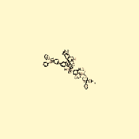 CC(C)c1ccccc1[C@@H]1CCCN1C1CC2(CCN(c3ccc(C(=O)NS(=O)(=O)c4cc5c(c([N+](=O)[O-])c4)N[C@@H](C4CN(C6COC6)[C@H](C)CO4)CO5)c(N4c5cc6cc[nH]c6nc5O[C@H]5COC[C@@H]54)c3)CC2)C1